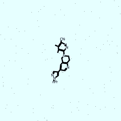 CCCn1cc(-c2cnc3c(c2)CN(c2nnc(C#N)c(C)c2C)CC3)cn1